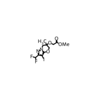 COC(=O)CO[C@]1(C)COc2c(I)c(C(F)F)nn2C1